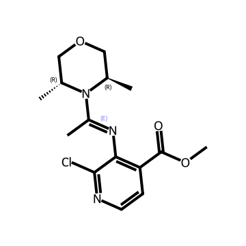 COC(=O)c1ccnc(Cl)c1/N=C(\C)N1[C@H](C)COC[C@H]1C